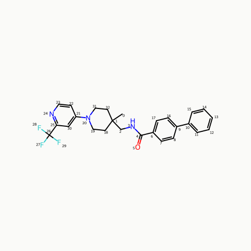 CC1(CNC(=O)c2ccc(-c3ccccc3)cc2)CCN(c2ccnc(C(F)(F)F)c2)CC1